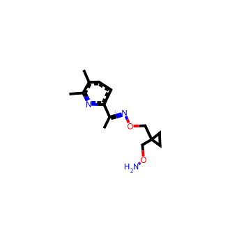 C/C(=N\OCC1(CON)CC1)c1ccc(C)c(C)n1